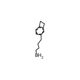 BCCCCc1ccc2c(c1)CC2